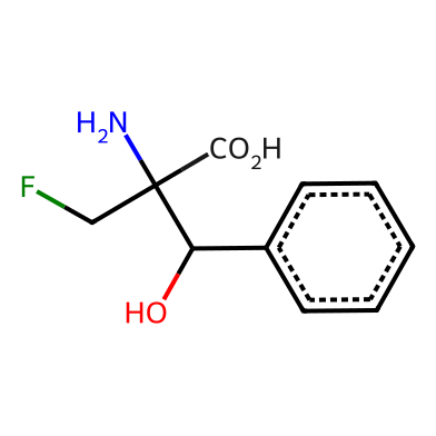 NC(CF)(C(=O)O)C(O)c1ccccc1